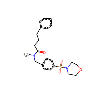 CN(Cc1ccc(S(=O)(=O)N2CCOCC2)cc1)C(=O)CCCc1ccccc1